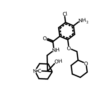 Nc1cc(OCC2CCCCO2)c(C(=O)NCC2(O)CN3CCC2CC3)cc1Cl